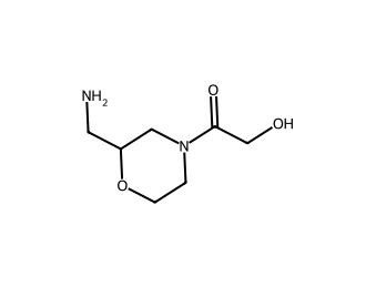 NCC1CN(C(=O)CO)CCO1